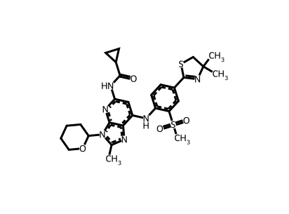 Cc1nc2c(Nc3ccc(C4=NC(C)(C)CS4)cc3S(C)(=O)=O)cc(NC(=O)C3CC3)nc2n1C1CCCCO1